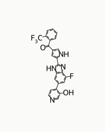 O=C(c1c[nH]c(-c2nc3c(F)cc(-c4ccncc4O)cc3[nH]2)c1)c1ccccc1C(F)(F)F